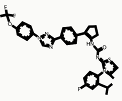 Cc1cs/c(=N\C(=O)NC2=C(c3ccc(-c4ncn(-c5ccc(OC(F)(F)F)cc5)n4)cc3)CCC2)n1-c1ccc(F)cc1C(C)C